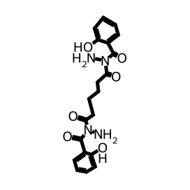 NN(C(=O)CCCCC(=O)N(N)C(=O)c1ccccc1O)C(=O)c1ccccc1O